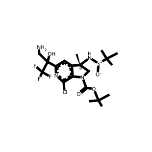 CC(C)(C)OC(=O)N1C[C@@](C)(N[S+]([O-])C(C)(C)C)c2cc(C(O)(CN)C(F)(F)F)nc(Cl)c21